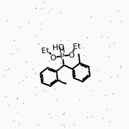 CCO[PH](O)(OCC)C(c1ccccc1C)c1ccccc1C